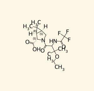 CCOC(C)(C)C(NC(=O)C(F)(F)F)C(=O)N1C[C@H]2[C@@H]([C@H]1C(=O)O)C2(C)C